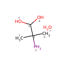 CC(C)(P)C(O)O.O